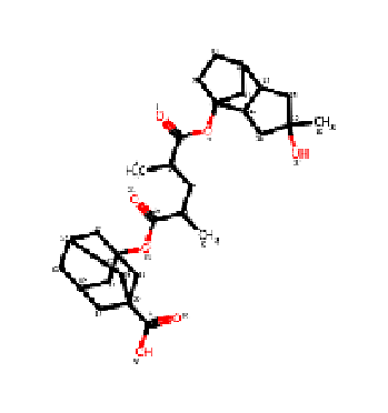 CC(CC(C)C(=O)OC12CCC(C1)C1CC(C)(O)CC12)C(=O)OC12CC3CC(C1)CC(C(=O)O)(C3)C2